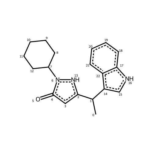 CC(c1cc(=O)n(C2CCCCC2)[nH]1)c1c[nH]c2ccccc12